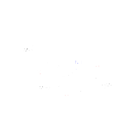 C=C(C(=O)OC)c1[nH]c2c(c1C(=O)OC)C(=O)C(OC)=CC2=O